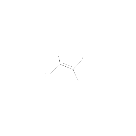 CC(I)=C(Br)I